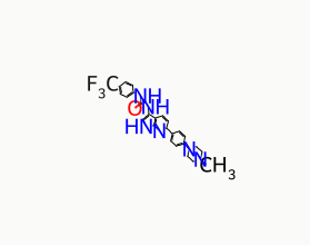 CN1CCN(c2ccc(-c3ccc4c(NC(=O)Nc5ccc(C(F)(F)F)cc5)c[nH]c4n3)cc2)CC1